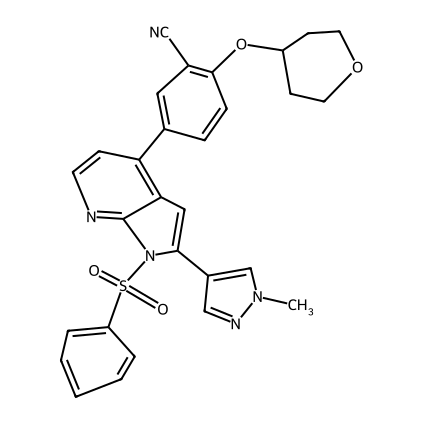 Cn1cc(-c2cc3c(-c4ccc(OC5CCOCC5)c(C#N)c4)ccnc3n2S(=O)(=O)c2ccccc2)cn1